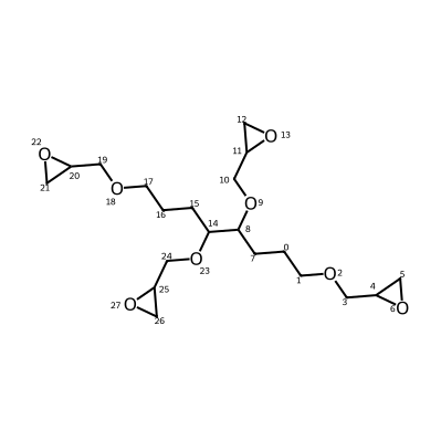 C(COCC1CO1)CC(OCC1CO1)C(CCCOCC1CO1)OCC1CO1